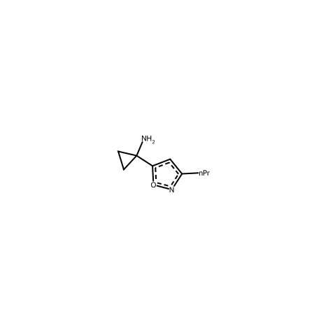 CCCc1cc(C2(N)CC2)on1